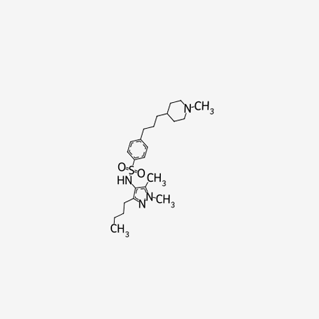 CCCCc1nn(C)c(C)c1NS(=O)(=O)c1ccc(CCCC2CCN(C)CC2)cc1